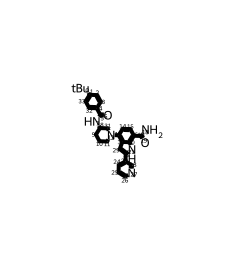 CC(C)(C)c1ccc(C(=O)NC2CCCN(c3ccc(C(N)=O)c4[nH]c(-c5cccnc5)cc34)C2)cc1